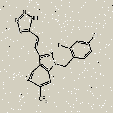 Fc1cc(Cl)ccc1Cn1nc(C=Cc2nnn[nH]2)c2ccc(C(F)(F)F)cc21